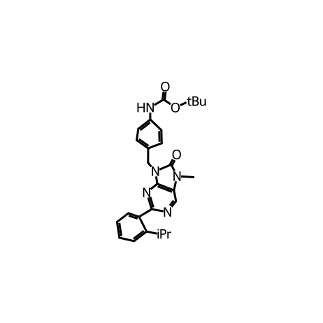 CC(C)c1ccccc1-c1ncc2c(n1)n(Cc1ccc(NC(=O)OC(C)(C)C)cc1)c(=O)n2C